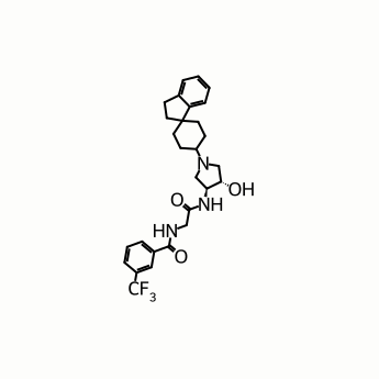 O=C(CNC(=O)c1cccc(C(F)(F)F)c1)N[C@H]1CN(C2CCC3(CCc4ccccc43)CC2)C[C@@H]1O